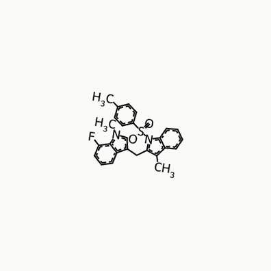 Cc1ccc(S(=O)(=O)n2c(Cc3cn(C)c4c(F)cccc34)c(C)c3ccccc32)cc1